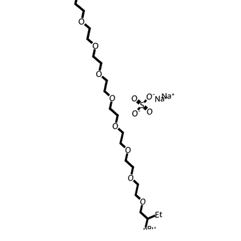 CCCCC(CC)COCCOCCOCCOCCOCCOCCOCCOCCO.O=S(=O)([O-])[O-].[Na+].[Na+]